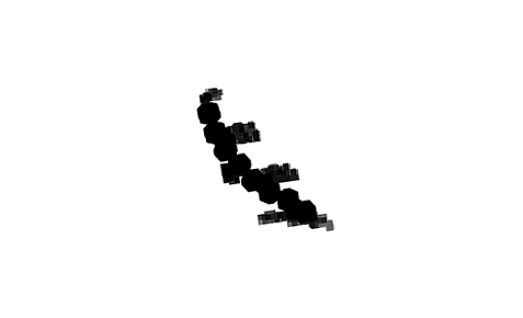 CCCCCCCCC1(CCCCCCCC)c2cc(-c3ccc(SC(C)C)cc3)ccc2-c2ccc(-c3ccc(-c4ccc5c(c4)C(CCCCCCCC)(CCCCCCCC)c4cc(-c6ccc7c(c6)C(CCCCCC)(CCCCCC)c6cc(C)ccc6-7)ccc4-5)c4nsnc34)cc21